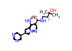 CC(C)Nc1c(C(=O)NCC(F)C(C)(C)O)cnn2cc(-c3cncnc3)cc12